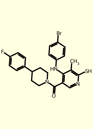 Cc1c(S)ncc(C(=O)N2CCC(c3ccc(F)cc3)CC2)c1Nc1ccc(Br)cc1